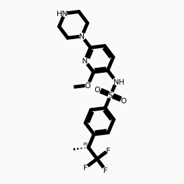 COc1nc(N2CCNCC2)ccc1NS(=O)(=O)c1ccc([C@@H](C)C(F)(F)F)cc1